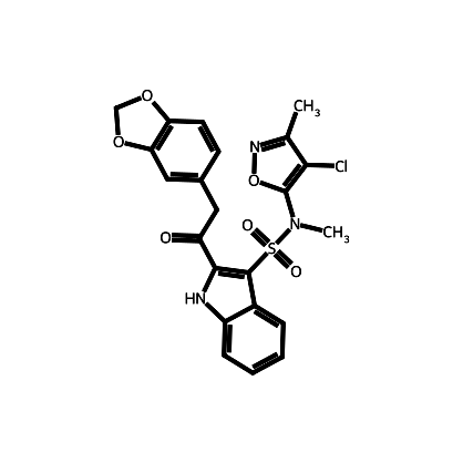 Cc1noc(N(C)S(=O)(=O)c2c(C(=O)Cc3ccc4c(c3)OCO4)[nH]c3ccccc23)c1Cl